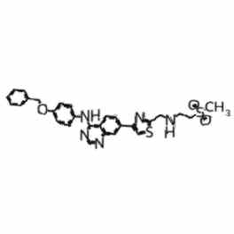 CS(=O)(=O)CCNCc1nc(-c2ccc3c(Nc4ccc(OCc5ccccc5)cc4)ncnc3c2)cs1